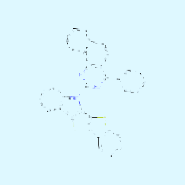 c1ccc(-c2nc(-n3c4ccccc4c4sc5c6ccccc6sc5c43)nc3c2ccc2ccccc23)cc1